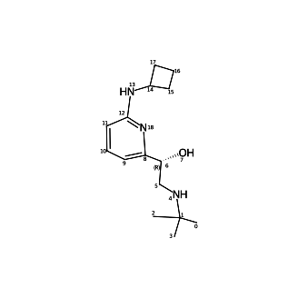 CC(C)(C)NC[C@@H](O)c1cccc(NC2CCC2)n1